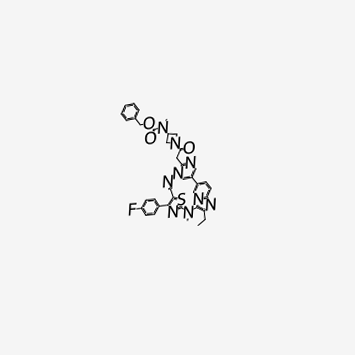 CCc1nc2ccc(-c3cnc(CC(=O)N4CC(N(C)C(=O)OCc5ccccc5)C4)nc3)cn2c1N(C)c1nc(-c2ccc(F)cc2)c(C#N)s1